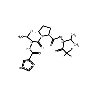 CC(C)[C@H](NC(=O)c1c[nH]cn1)C(=O)N1CCC[C@H]1C(=O)N[C@H](C(=O)C(F)(F)F)C(C)C